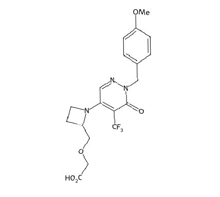 COc1ccc(Cn2ncc(N3CCC3COCC(=O)O)c(C(F)(F)F)c2=O)cc1